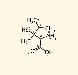 CC(C)C(C)(S)C(N)C(=O)O